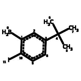 Bc1cc(C(C)(C)C)ccc1I